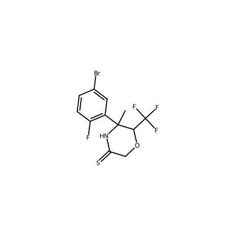 CC1(c2cc(Br)ccc2F)NC(=S)COC1C(F)(F)F